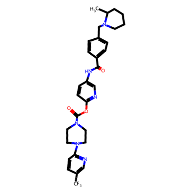 CC1CCCCN1Cc1ccc(C(=O)Nc2ccc(OC(=O)N3CCN(c4ccc(C(F)(F)F)cn4)CC3)nc2)cc1